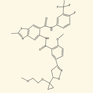 COCCOC1(C2CC(c3ccc(OC)c(C(=O)Nc4cc5nc(C)sc5cc4C(=O)Nc4ccc(F)c(C(F)(F)F)c4)c3)=NO2)CC1